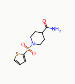 NC(=O)C1CCN(S(=O)(=O)c2cccs2)CC1